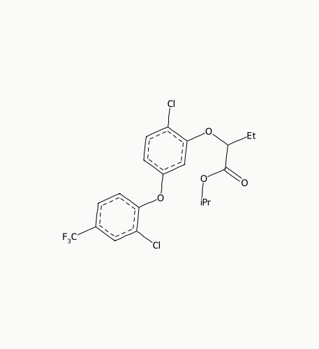 CCC(Oc1cc(Oc2ccc(C(F)(F)F)cc2Cl)ccc1Cl)C(=O)OC(C)C